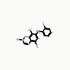 CCN(C)/C=N\c1cc(Cl)c(Nc2ccccc2F)cc1Cl